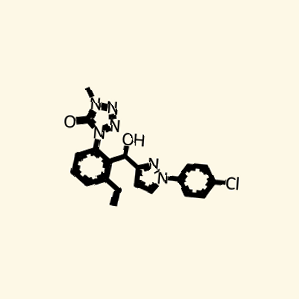 C=Cc1cccc(-n2nnn(C)c2=O)c1C(O)c1ccn(-c2ccc(Cl)cc2)n1